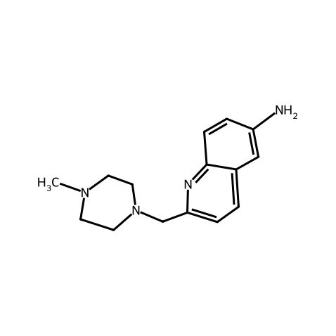 CN1CCN(Cc2ccc3cc(N)ccc3n2)CC1